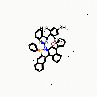 Bc1cc(B)c(-c2nc(N3c4c(c5ccccc5c5c4oc4ccccc45)-c4cc5ccccc5cc4P3c3ccccc3)nc3ccccc23)c(B)c1